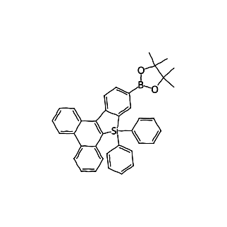 CC1(C)OB(c2ccc3c(c2)[Si](c2ccccc2)(c2ccccc2)c2c-3c3ccccc3c3ccccc23)OC1(C)C